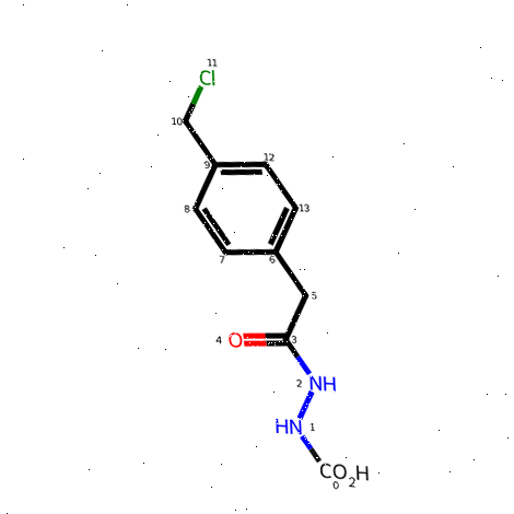 O=C(O)NNC(=O)Cc1ccc(CCl)cc1